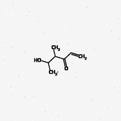 [CH2]C(O)C(C)C(=O)C=C